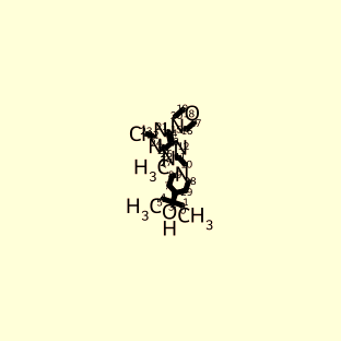 CCC(O)(CC)C1CCN(Cc2nc3c(N4CCOCC4)nc(Cl)nc3n2C)CC1